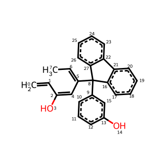 C=C/C(O)=C\C(=C/C)C1(c2cccc(O)c2)c2ccccc2-c2ccccc21